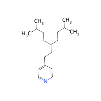 CC(C)CCC(C[CH]c1ccncc1)CCC(C)C